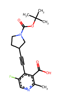 Cc1ncc(F)c(C#CC2CCN(C(=O)OC(C)(C)C)C2)c1C(=O)O